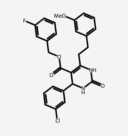 COc1cccc(CCC2=C(C(=O)OCc3cccc(F)c3)C(c3cccc(Cl)c3)NC(=O)N2)c1